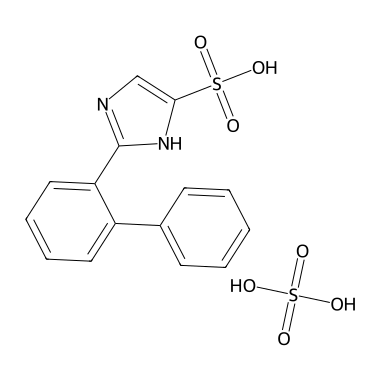 O=S(=O)(O)O.O=S(=O)(O)c1cnc(-c2ccccc2-c2ccccc2)[nH]1